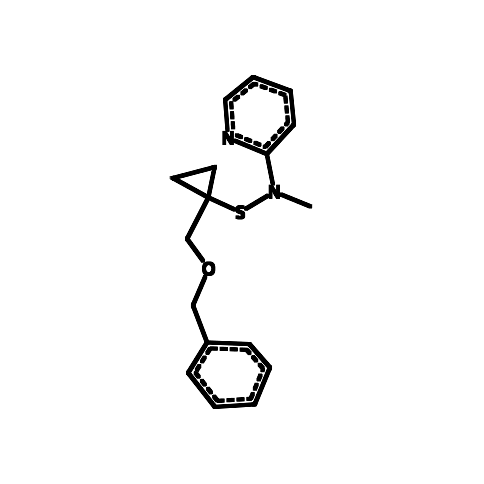 CN(SC1(COCc2ccccc2)CC1)c1ccccn1